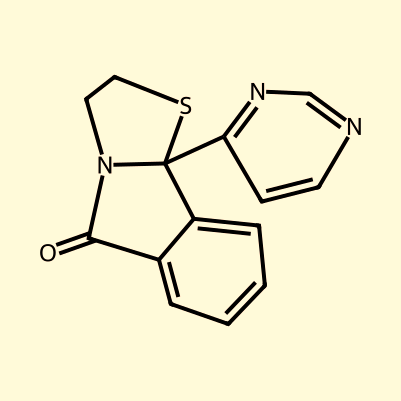 O=C1c2ccccc2C2(c3ccncn3)SCCN12